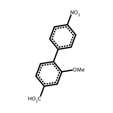 COc1cc(C(=O)O)ccc1-c1ccc([N+](=O)[O-])cc1